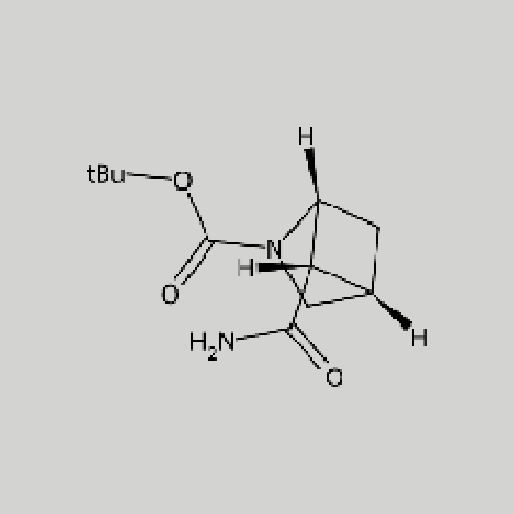 CC(C)(C)OC(=O)N1C[C@H]2C[C@@H]1[C@H]2C(N)=O